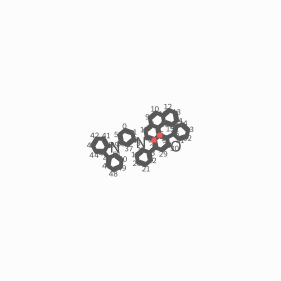 c1cc(N(c2ccc3c(ccc4ccccc43)c2)c2ccccc2-c2ccc3c(c2)oc2ccccc23)cc(-n2c3ccccc3c3ccccc32)c1